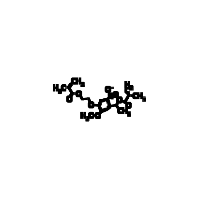 C=C(C)C(=O)OCCOc1cc([N+](=O)[O-])c(C(C)OC(=O)C(=C)C)cc1OC